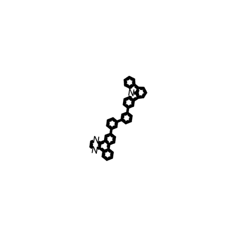 c1cc(-c2cccc(-c3ccc4c(c3)c3cccc5c6ccccc6n4c53)c2)cc(-c2ccc3c4ccccc4c4nccnc4c3c2)c1